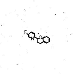 Fc1ccc(C2CCc3ccccc3O2)nc1